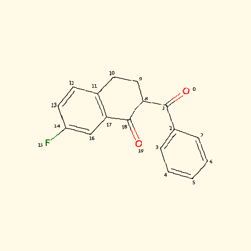 O=C(c1ccccc1)C1CCc2ccc(F)cc2C1=O